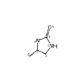 CC1CNC(=O)[N]1